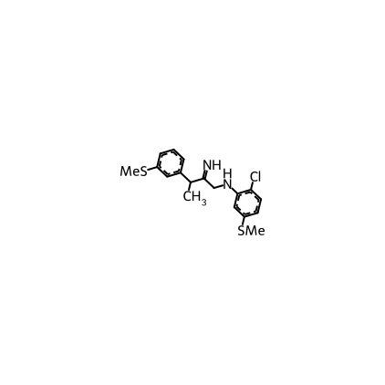 CSc1cccc(C(C)C(=N)CNc2cc(SC)ccc2Cl)c1